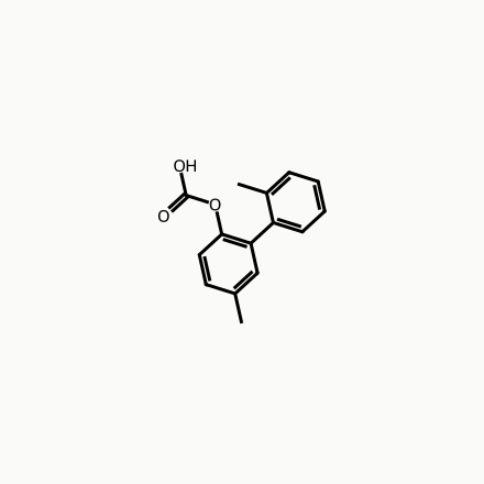 Cc1ccc(OC(=O)O)c(-c2ccccc2C)c1